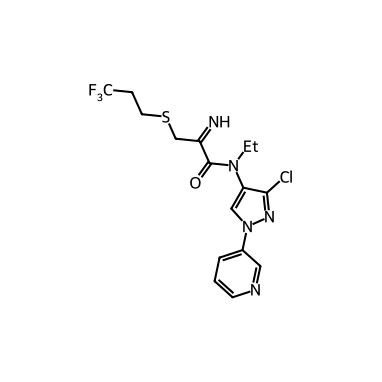 CCN(C(=O)C(=N)CSCCC(F)(F)F)c1cn(-c2cccnc2)nc1Cl